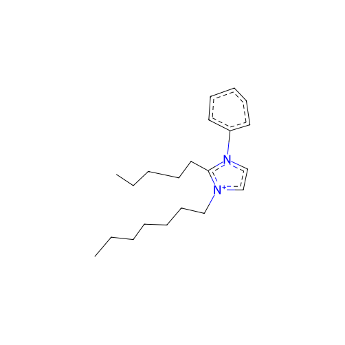 CCCCCCC[n+]1ccn(-c2ccccc2)c1CCCCC